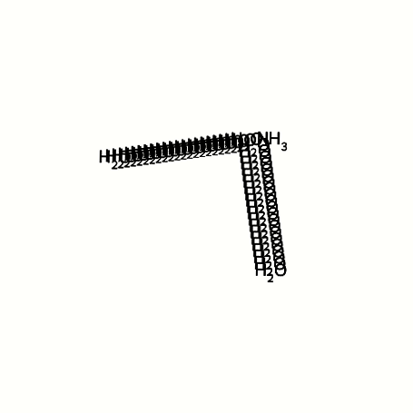 N.O.O.O.O.O.O.O.O.O.O.O.O.O.O.O.O.O.O.O.O.O.O.O.O.O.O.O.O.O.O.O.O.O.O.O.O.O.O.O.O.O.O.O